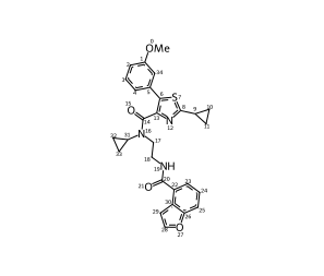 COc1cccc(-c2sc(C3CC3)nc2C(=O)N(CCNC(=O)c2cccc3occc23)C2CC2)c1